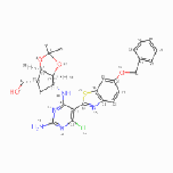 CC1(C)O[C@@H]2[C@@H](CO)C[C@@H](Nc3nc(N)nc(Cl)c3-c3nc4ccc(OCc5ccccc5)cc4s3)[C@@H]2O1